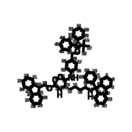 Cc1ccccc1C(NCCCC[C@H](NC(=O)OCC1c2ccccc2-c2ccccc21)C(=O)Nc1ccc(CO[Si](c2ccccc2)(c2ccccc2)C(C)(C)C)cc1)(c1ccccc1)c1ccccc1